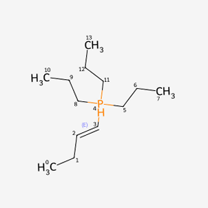 CC/C=C/[PH](CCC)(CCC)CCC